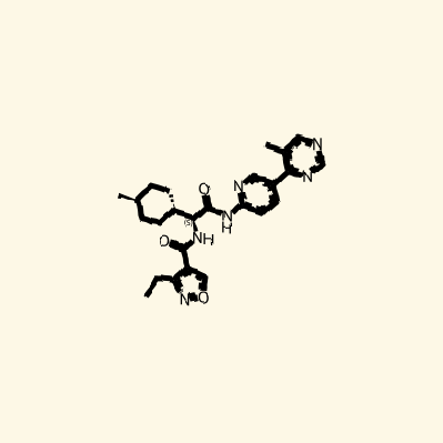 CCc1nocc1C(=O)N[C@H](C(=O)Nc1ccc(-c2ncncc2C)cn1)[C@H]1CC[C@H](C)CC1